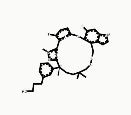 Cn1nc2nc1-c1cc(ccc1F)Sc1c(F)cc3[nH]ccc3c1CCSCC(C)(C)CC[C@]2(C)c1cccc(CCCO)c1